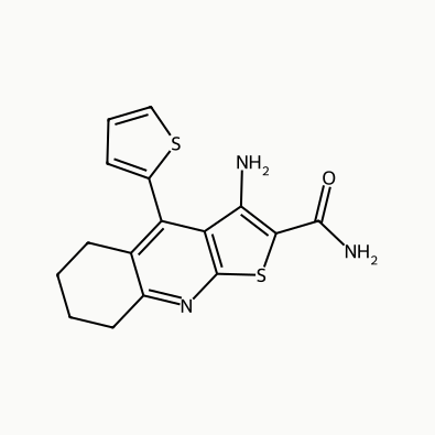 NC(=O)c1sc2nc3c(c(-c4cccs4)c2c1N)CCCC3